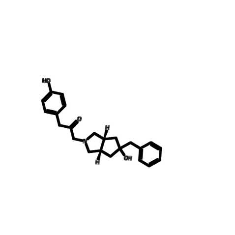 O=C(Cc1ccc(O)cc1)CN1C[C@@H]2CC(O)(Cc3ccccc3)C[C@@H]2C1